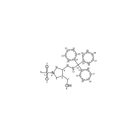 CS(=O)(=O)N1CC(CO)C(CSC(c2ccccc2)(c2ccccc2)c2ccccc2)C1